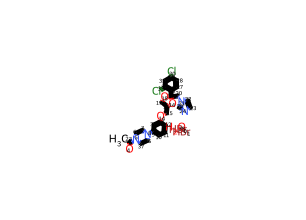 Br.Br.CC(=O)N1CCN(c2cccc(OCC3COC(Cn4ccnc4)(c4ccc(Cl)cc4Cl)O3)c2)CC1.O